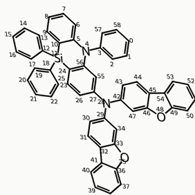 c1ccc(N2c3ccccc3[Si](c3ccccc3)(c3ccccc3)c3ccc(N(c4ccc5c(c4)oc4ccccc45)c4ccc5c(c4)oc4ccccc45)cc32)cc1